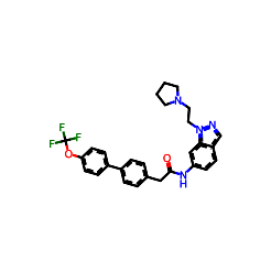 O=C(Cc1ccc(-c2ccc(OC(F)(F)F)cc2)cc1)Nc1ccc2cnn(CCN3CCCC3)c2c1